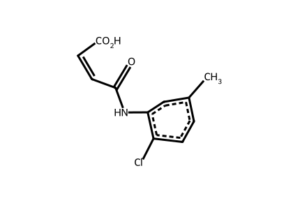 Cc1ccc(Cl)c(NC(=O)/C=C\C(=O)O)c1